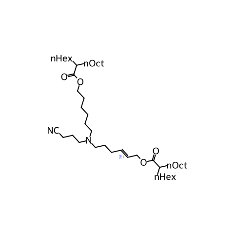 CCCCCCCCC(CCCCCC)C(=O)OC/C=C/CCCN(CCCC#N)CCCCCCOC(=O)C(CCCCCC)CCCCCCCC